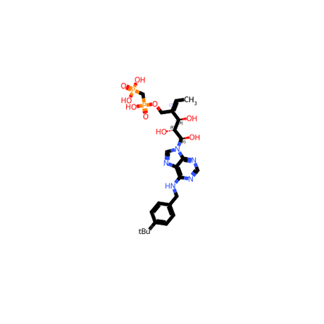 C/C=C(/COP(=O)(O)CP(=O)(O)O)[C@@H](O)[C@@H](O)[C@@H](O)n1cnc2c(NCc3ccc(C(C)(C)C)cc3)ncnc21